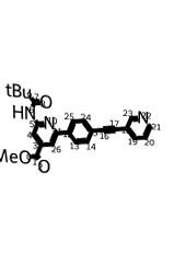 COC(=O)c1cc(NC(=O)C(C)(C)C)nc(-c2ccc(C#Cc3cccnc3)cc2)c1